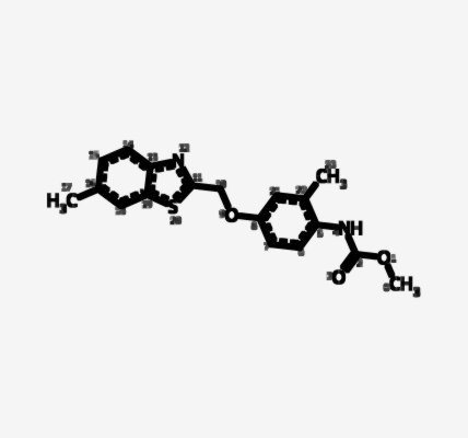 COC(=O)Nc1ccc(OCc2nc3ccc(C)cc3s2)cc1C